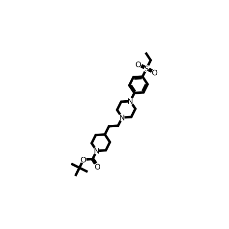 CCS(=O)(=O)c1ccc(N2CCN(CCC3CCN(C(=O)OC(C)(C)C)CC3)CC2)cc1